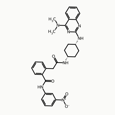 CN(C)c1nc(N[C@H]2CC[C@@H](NC(=O)Cc3ccccc3C(=O)Nc3cccc([N+](=O)[O-])c3)CC2)nc2ccccc12